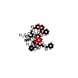 COC1OC(COC(=O)c2ccccc2)C(O[C@@H]2O[C@@H](COC(C)=O)[C@@H](OC3OC(COC(=O)c4ccccc4)C(OC)[C@H](OCc4ccccc4)[C@@H]3N=[N+]=[N-])C(OCc3ccccc3)C2OC(=O)c2ccccc2)[C@H](OCc2ccccc2)[C@@H]1N=[N+]=[N-]